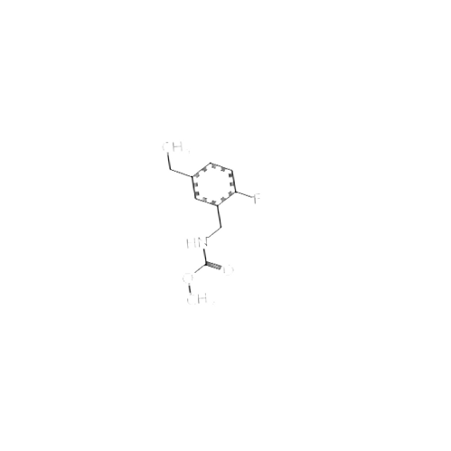 CCc1ccc(F)c(CNC(=O)OC)c1